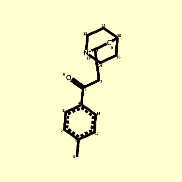 Cc1ccc(C(=O)CC2CC3CC[N+]2CC3)cc1